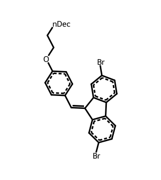 CCCCCCCCCCCCOc1ccc(C=C2c3cc(Br)ccc3-c3ccc(Br)cc32)cc1